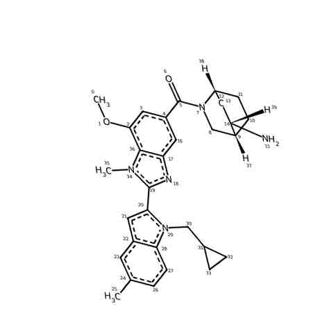 COc1cc(C(=O)N2C[C@H]3CC[C@@H]2C[C@@H]3N)cc2nc(-c3cc4cc(C)ccc4n3CC3CC3)n(C)c12